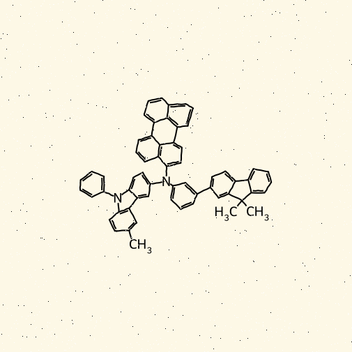 Cc1ccc2c(c1)c1cc(N(c3cccc(-c4ccc5c(c4)C(C)(C)c4ccccc4-5)c3)c3ccc4c5cccc6cccc(c7cccc3c74)c65)ccc1n2-c1ccccc1